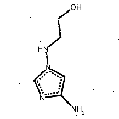 Nc1cn(NCCO)cn1